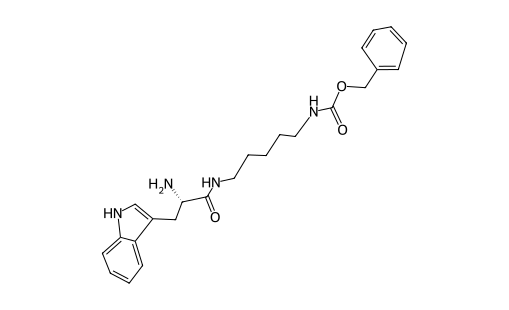 N[C@@H](Cc1c[nH]c2ccccc12)C(=O)NCCCCCNC(=O)OCc1ccccc1